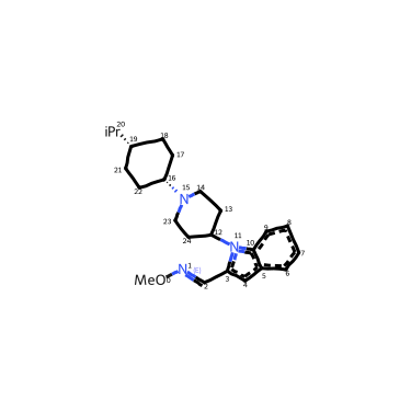 CO/N=C/c1cc2ccccc2n1C1CCN([C@H]2CC[C@@H](C(C)C)CC2)CC1